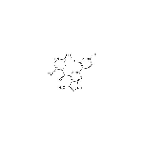 Cc1n[nH]c2nc(-c3ccc(O)cc3F)cc(C(=O)N3C[C@H](C)NC[C@@H]3C)c12